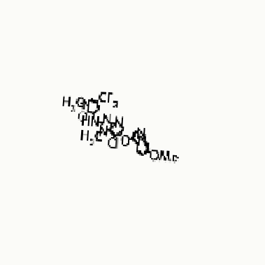 COc1ccc2c(Oc3cnc4nc(Nc5cc(C(F)(F)F)cn(C)c5=O)n(C)c4c3Cl)cnn2c1